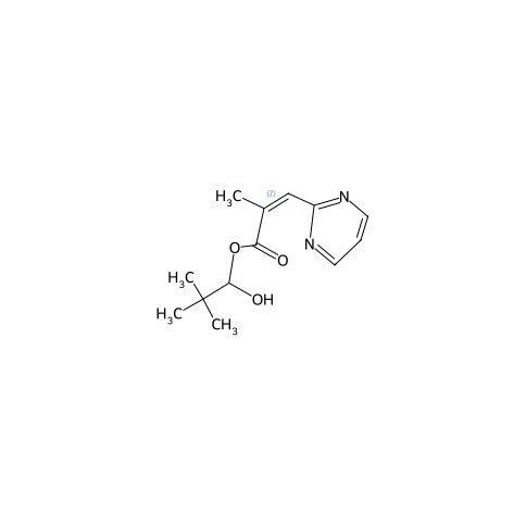 C/C(=C/c1ncccn1)C(=O)OC(O)C(C)(C)C